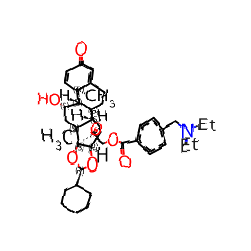 CCN(CC)Cc1ccc(C(=O)OCC(=O)[C@@]23O[C@H](C4CCCCC4)O[C@@H]2C[C@H]2[C@@H]4CCC5=CC(=O)C=C[C@]5(C)[C@H]4[C@@H](O)C[C@@]23C)cc1